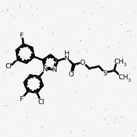 CC(C)SCCOC(=O)Nc1cc(-c2cc(F)cc(Cl)c2)n(-c2ccc(F)c(Cl)c2)n1